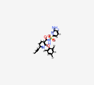 CC#Cc1ccc(C(=O)NS(=O)(=O)c2cccc(N)n2)c(Oc2c(C)cc(C)cc2C)n1